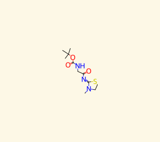 CN1CCSC1=NC(=O)CNC(=O)OC(C)(C)C